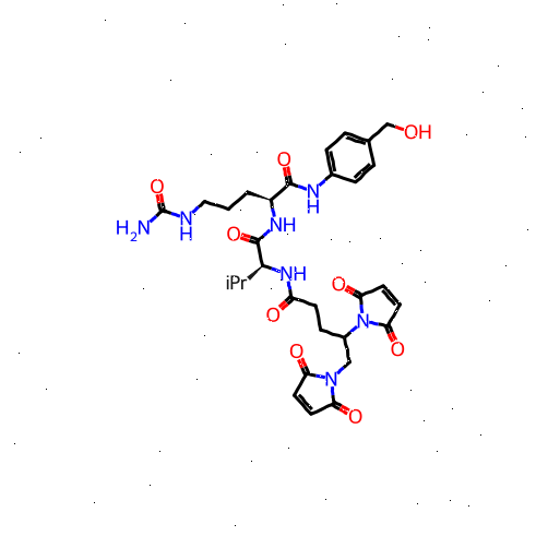 CC(C)[C@H](NC(=O)CCC(CN1C(=O)C=CC1=O)N1C(=O)C=CC1=O)C(=O)N[C@@H](CCCNC(N)=O)C(=O)Nc1ccc(CO)cc1